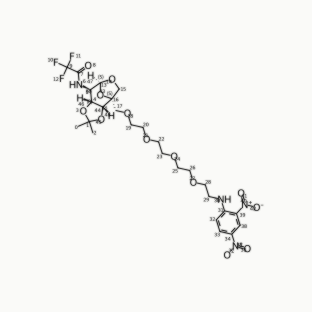 CC1(C)O[C@@H]2[C@@H](NC(=O)C(F)(F)F)[C@H]3OC[C@](COCCOCCOCCOCCNc4ccc([N+](=O)[O-])cc4[N+](=O)[O-])(O3)[C@@H]2O1